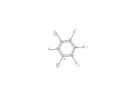 Cc1c(Cl)c(F)c(F)c(F)c1Cl